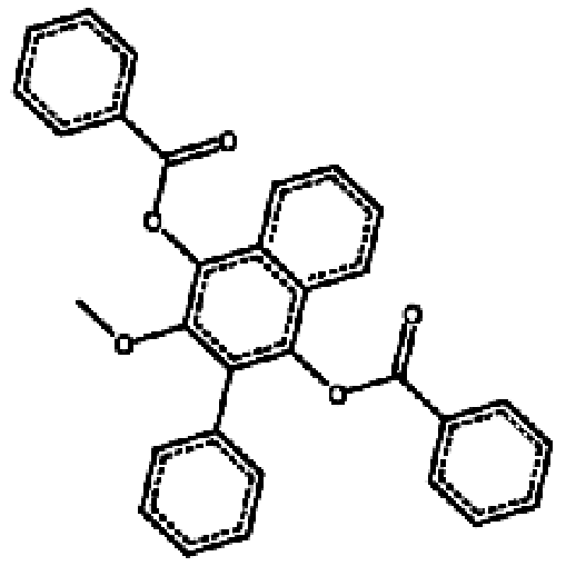 COc1c(-c2ccccc2)c(OC(=O)c2ccccc2)c2ccccc2c1OC(=O)c1ccccc1